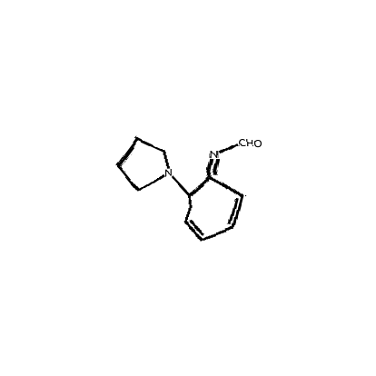 O=CN=C1[C]=CC=CC1N1CCCC1